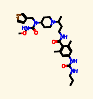 CCCNC(=O)Nc1cc(C)c(C(=O)NCCC(C)N2CCC(N(Cc3ccsc3)C(=O)NOC)CC2)c(C)c1